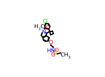 CCCS(=O)(=O)NCCOc1ccc2c(c1)C(C1(c3ccc(Cl)cc3)CCC1)N(C(C)=O)CC2